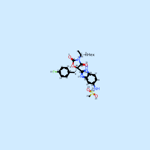 CCCCCC[C@@H](C)N1C(=O)O[C@](Cc2ccc(F)cc2)(c2nc3cc(NS(C)(=O)=O)ccc3[nH]2)C1=O